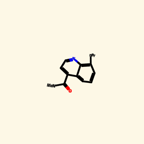 CCCc1cccc2c(C(=O)NC)ccnc12